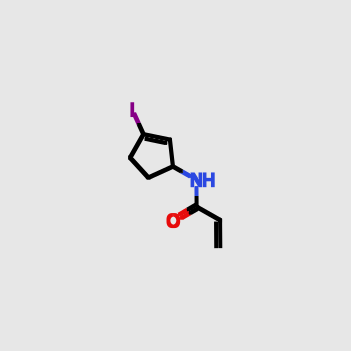 C=CC(=O)NC1C=C(I)CC1